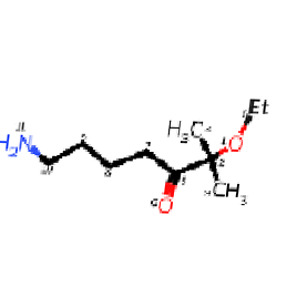 CCOC(C)(C)C(=O)CCCCN